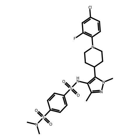 Cc1nn(C)c(C2CCN(c3ccc(Cl)cc3F)CC2)c1NS(=O)(=O)c1ccc(S(=O)(=O)N(C)C)cc1